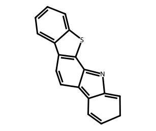 C1=CC2=c3ccc4c(sc5ccccc54)c3=NC2=CC1